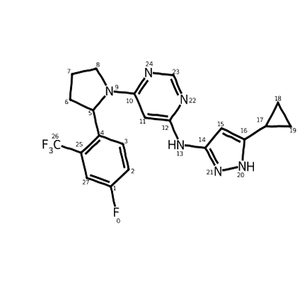 Fc1ccc(C2CCCN2c2cc(Nc3cc(C4CC4)[nH]n3)ncn2)c(C(F)(F)F)c1